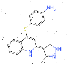 CC1=NNCC1=C1C=C(Sc2ccc(N)cc2)c2ccccc2N1